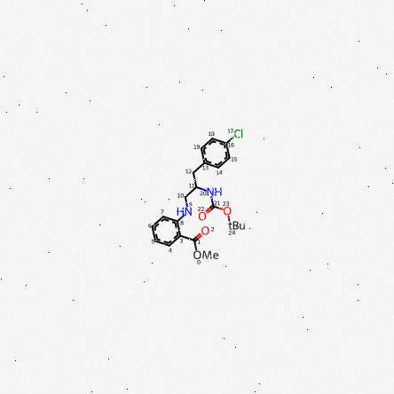 COC(=O)c1ccccc1NCC(Cc1ccc(Cl)cc1)NC(=O)OC(C)(C)C